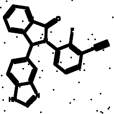 C#Cc1cccc(N2C(=O)c3ccccc3C2c2ccc3[nH][c]nc3c2)c1F